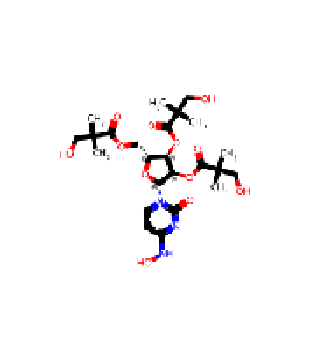 CC(C)(CO)C(=O)OC[C@H]1O[C@@H](n2ccc(NO)nc2=O)[C@H](OC(=O)C(C)(C)CO)[C@@H]1OC(=O)C(C)(C)CO